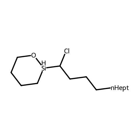 CCCCCCCCCCC(Cl)[SiH]1CCCCO1